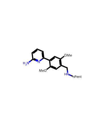 CCCCCNCc1cc(OC)c(-c2cccc(N)n2)cc1OC